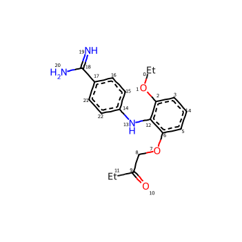 CCOc1c[c]cc(OCC(=O)CC)c1Nc1ccc(C(=N)N)cc1